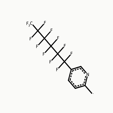 [CH2]c1ccc(C(F)(F)C(F)(F)C(F)(F)C(F)(F)C(F)(F)C(F)(F)F)cn1